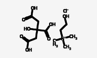 C[N+](C)(C)CCO.O=C(O)CC(O)(CC(=O)O)C(=O)O.[Cl-]